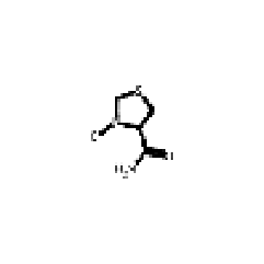 NC(=O)C1CSCN1Cl